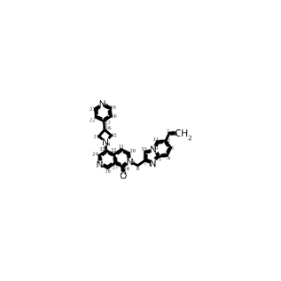 C=Cc1ccc2nc(Cn3ccc4c(N5CC(c6ccncc6)C5)cncc4c3=O)cn2c1